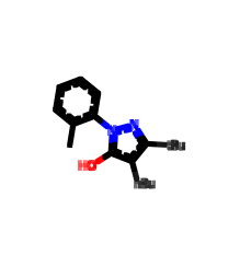 CCCCc1c(C(C)(C)C)nn(-c2ccccc2C)c1O